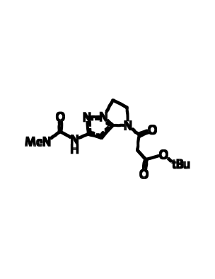 CNC(=O)Nc1cc2n(n1)CCN2C(=O)CC(=O)OC(C)(C)C